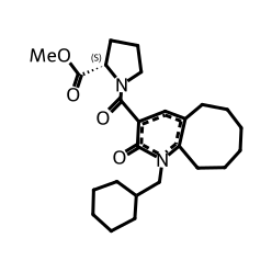 COC(=O)[C@@H]1CCCN1C(=O)c1cc2c(n(CC3CCCCC3)c1=O)CCCCCC2